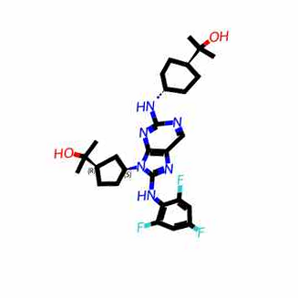 CC(C)(O)[C@@H]1CC[C@H](n2c(Nc3c(F)cc(F)cc3F)nc3cnc(N[C@H]4CC[C@H](C(C)(C)O)CC4)nc32)C1